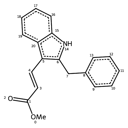 COC(=O)C=Cc1c(Cc2ccccc2)[nH]c2ccccc12